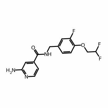 Nc1cc(C(=O)NCc2ccc(OCC(F)F)c(F)c2)ccn1